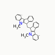 Cn1c2c(c3[c]cccc31)-c1ccccc1C2CC1c2ccccc2-c2c1n(C)c1ccc[c]c21